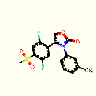 CS(=O)(=O)c1cc(F)c(-c2coc(=O)n2-c2cccc(C#N)c2)cc1F